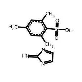 Cc1cc(C)c(S(=O)(=O)O)c(C)c1.N=C1N=CC=N1